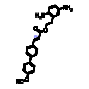 N#COc1ccc(-c2ccc(/C=C/C(=O)OCCc3cc(N)ccc3N)cc2)cc1